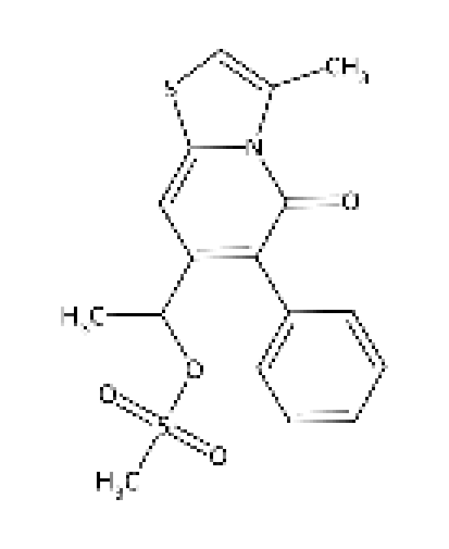 Cc1csc2cc(C(C)OS(C)(=O)=O)c(-c3ccccc3)c(=O)n12